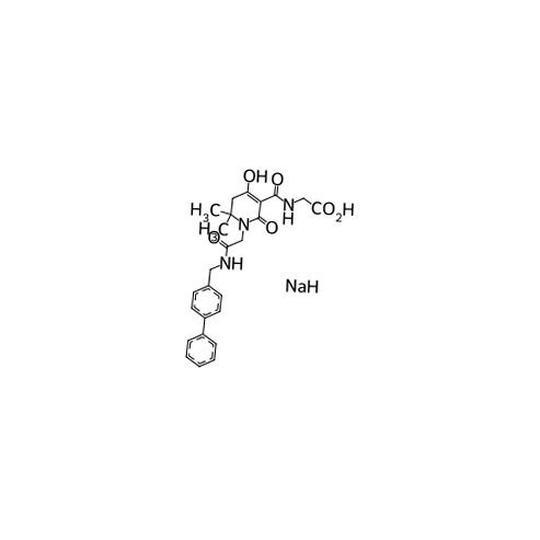 CC1(C)CC(O)=C(C(=O)NCC(=O)O)C(=O)N1CC(=O)NCc1ccc(-c2ccccc2)cc1.[NaH]